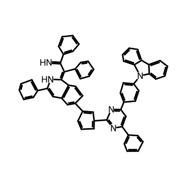 N=C(/C(=C1\NC(c2ccccc2)=Cc2cc(-c3cccc(-c4nc(-c5ccccc5)cc(-c5ccc(-n6c7ccccc7c7ccccc76)cc5)n4)c3)ccc21)c1ccccc1)c1ccccc1